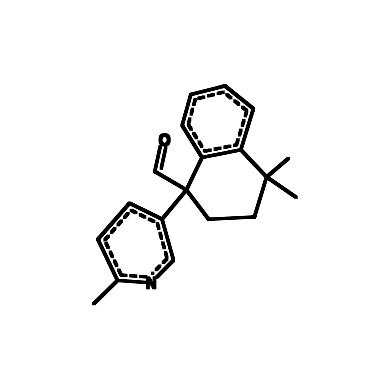 Cc1ccc(C2(C=O)CCC(C)(C)c3ccccc32)cn1